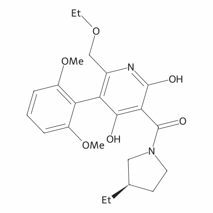 CCOCc1nc(O)c(C(=O)N2CC[C@@H](CC)C2)c(O)c1-c1c(OC)cccc1OC